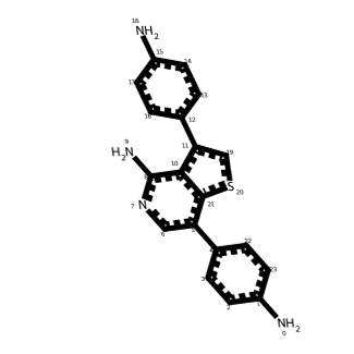 Nc1ccc(-c2cnc(N)c3c(-c4ccc(N)cc4)csc23)cc1